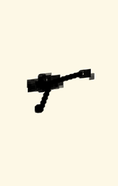 CCCCCCCCCCCCCC[C@@H](O)[C@@H](O)[C@H](COC1OC(CO)C(O)C(O)C1O)NC(=O)CCCCCCCCCc1ccccc1